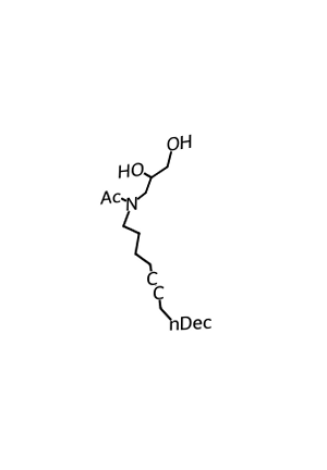 CCCCCCCCCCCCCCCCCN(CC(O)CO)C(C)=O